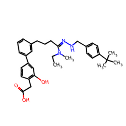 CCN(C)/C(CCCc1cccc(-c2ccc(CC(=O)O)c(O)c2)c1)=N\NCc1ccc(C(C)(C)C)cc1